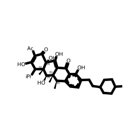 CC(=O)C1=C(O)C(C(C)C)[C@@]2(C)[C@H](O)[C@]3(C)C(=C(O)[C@@]2(O)C1=O)C(=O)c1c(ccc(CCC2CCC(C)CC2)c1O)[C@H]3C